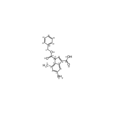 Bc1cc(C)c2c(c1)c(C(=O)O)cn2C(=O)OCc1ccccc1